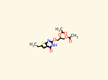 CCc1cc2c(=O)[nH]c(OCC(COC(C)=O)OC(C)=O)nc2s1